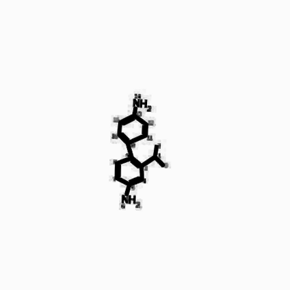 CC(C)c1cc(N)ccc1-c1ccc(N)cc1